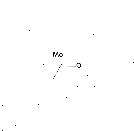 CC=O.[Mo]